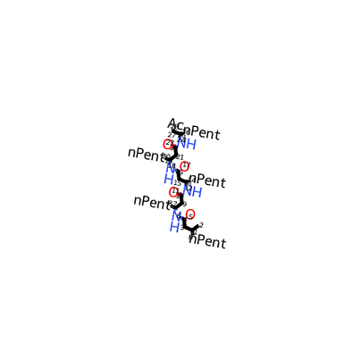 CCCCCC(C)CC(=O)NC(CCCCC)CC(=O)NC(CCCCC)CC(=O)NC(CCCCC)CC(=O)NC(CCCCC)CC(C)=O